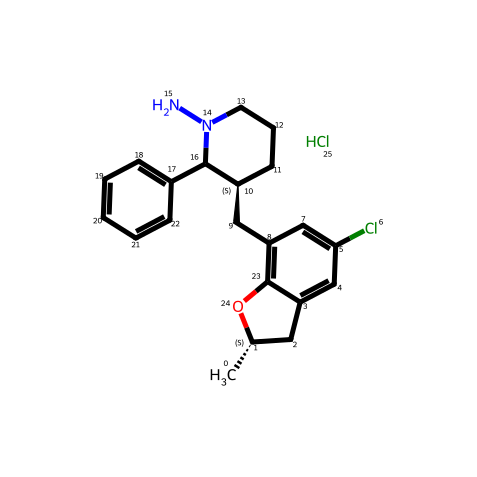 C[C@H]1Cc2cc(Cl)cc(C[C@@H]3CCCN(N)C3c3ccccc3)c2O1.Cl